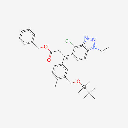 CCn1nnc2c(Cl)c([C@@H](CC(=O)OCc3ccccc3)c3ccc(C)c(CO[Si](C)(C)C(C)(C)C)c3)ccc21